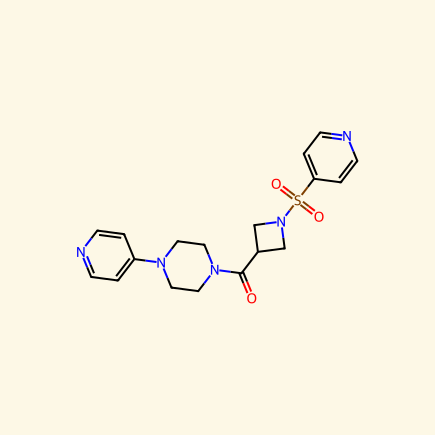 O=C(C1CN(S(=O)(=O)c2ccncc2)C1)N1CCN(c2ccncc2)CC1